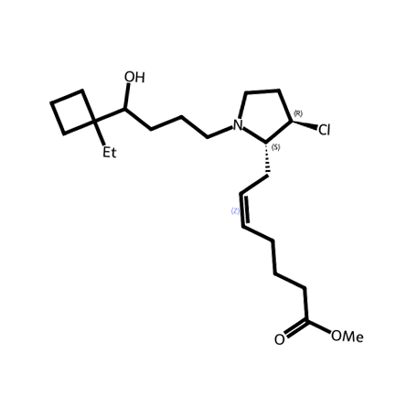 CCC1(C(O)CCCN2CC[C@@H](Cl)[C@@H]2C/C=C\CCCC(=O)OC)CCC1